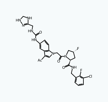 CC(=O)c1cn(CC(=O)N2C[C@H](F)C[C@H]2C(=O)NCc2cccc(Cl)c2F)c2ccc(NC(=O)NCC3=NNCN3)cc12